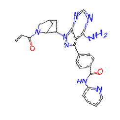 C=CC(=O)N1CC2CC1C(n1nc(-c3ccc(C(=O)Nc4ccccn4)cc3)c3c(N)ncnc31)C2